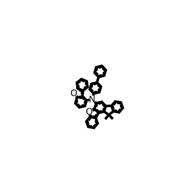 CC1(C)c2ccccc2-c2cc(N(c3ccc(-c4ccccc4)cc3)c3cccc4oc5ccccc5c34)c3oc4ccccc4c3c21